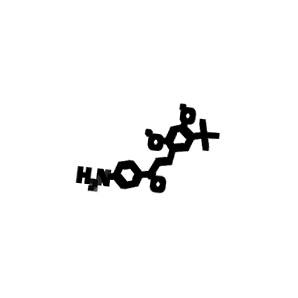 COc1cc(OC)c(C(C)(C)C)cc1C=CC(=O)c1ccc(N)cc1